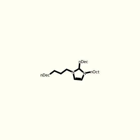 CCCCCCCCCCCCCN1C=CN(CCCCCCCC)C1CCCCCCCCCC